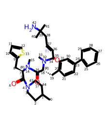 CC1CCN(C(=O)[C@@H](Cc2cccs2)N(C)C(=O)[C@@H](Cc2ccc(-c3ccccc3)cc2)N(C)C(=O)/C=C/CC(C)(C)N)CC1